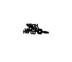 CC#Cc1ccc(C(=O)NC(C(=O)NO)C2(O)CN(C)C2)cc1